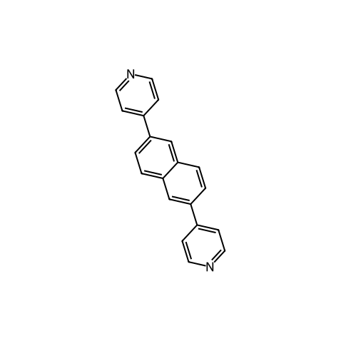 c1cc(-c2ccc3cc(-c4ccncc4)ccc3c2)ccn1